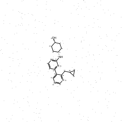 O[C@H]1CC[C@H](Nc2nccc(-c3cncnc3CC3CC3)n2)CC1